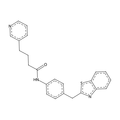 O=C(CCCc1cccnc1)Nc1ccc(Cc2nc3ccccc3s2)cc1